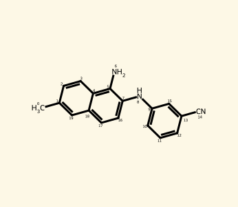 Cc1ccc2c(N)c(Nc3cccc(C#N)c3)ccc2c1